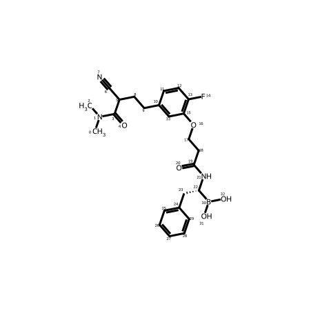 CN(C)C(=O)C(C#N)CCc1ccc(F)c(OCCC(=O)N[C@@H](Cc2ccccc2)B(O)O)c1